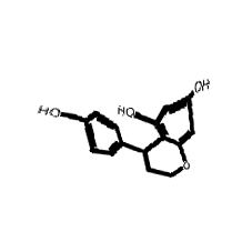 Oc1ccc(C2CCOc3cc(O)cc(O)c32)cc1